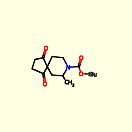 CC1CC2(CCN1C(=O)OC(C)(C)C)C(=O)CCC2=O